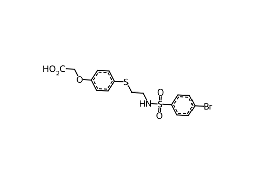 O=C(O)COc1ccc(SCCNS(=O)(=O)c2ccc(Br)cc2)cc1